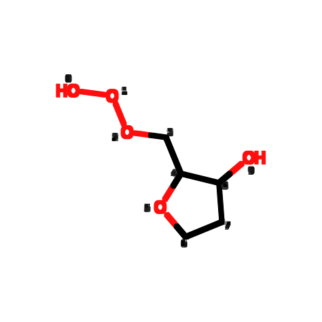 OOOCC1OCCC1O